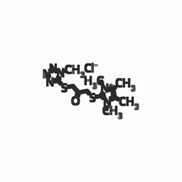 Cc1c(C)[n+](C)c(SCC(=O)CSc2nnnn2C)n1C.[Cl-]